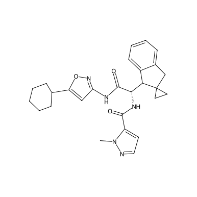 Cn1nccc1C(=O)N[C@H](C(=O)Nc1cc(C2CCCCC2)on1)C1c2ccccc2CC12CC2